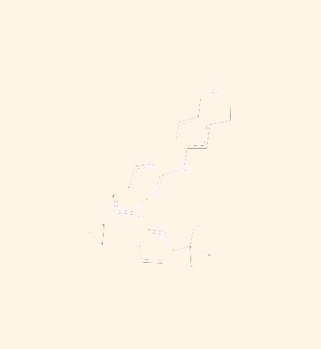 O=c1c2cnc(Nc3ccc4c(c3)CCNC4)nc2n(-c2cccc(C3(CF)CC3)n2)n1C1CC1